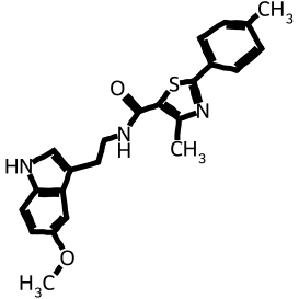 COc1ccc2[nH]cc(CCNC(=O)c3sc(-c4ccc(C)cc4)nc3C)c2c1